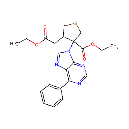 CCOC(=O)CC1CSCC1(C(=O)OCC)n1cnc2c(-c3ccccc3)ncnc21